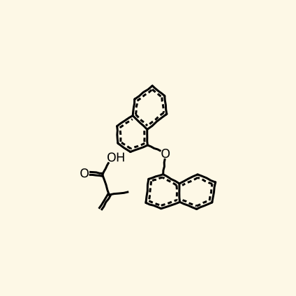 C=C(C)C(=O)O.c1ccc2c(Oc3cccc4ccccc34)cccc2c1